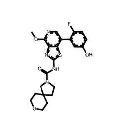 COc1ncc(-c2cc(O)ccc2F)c2sc(NC(=O)N3CCC4(CCOCC4)C3)nc12